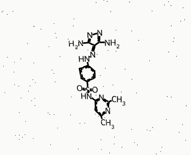 Cc1cc(NS(=O)(=O)c2ccc(NN=C3C(N)=NN=C3N)cc2)nc(C)n1